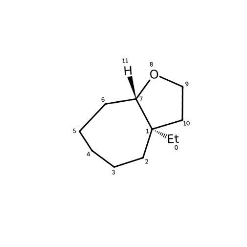 CC[C@]12CCCCC[C@@H]1OCC2